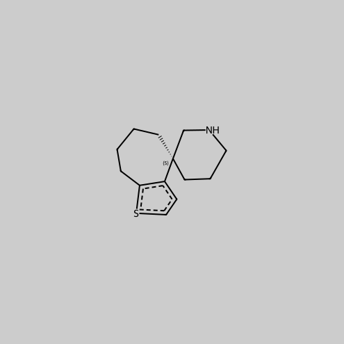 c1cc2c(s1)CCCC[C@]21CCCNC1